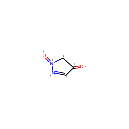 O=C1[CH][N+](=O)N=C1